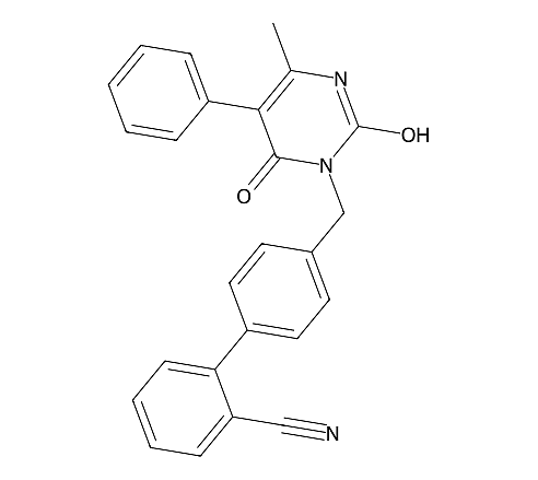 Cc1nc(O)n(Cc2ccc(-c3ccccc3C#N)cc2)c(=O)c1-c1ccccc1